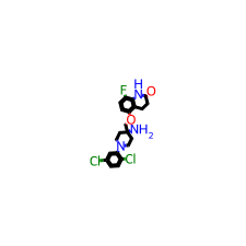 NC1(COc2ccc(F)c3c2CCC(=O)N3)CCN(c2cc(Cl)ccc2Cl)CC1